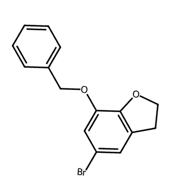 Brc1cc2c(c(OCc3ccccc3)c1)OCC2